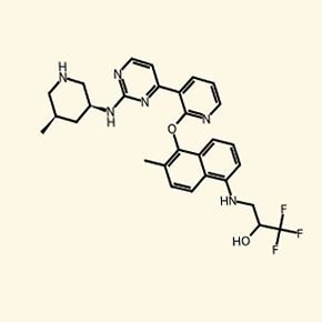 Cc1ccc2c(NCC(O)C(F)(F)F)cccc2c1Oc1ncccc1-c1ccnc(N[C@@H]2CNC[C@H](C)C2)n1